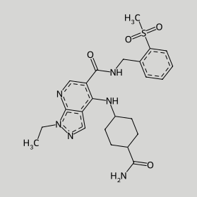 CCn1ncc2c(NC3CCC(C(N)=O)CC3)c(C(=O)NCc3ccccc3S(C)(=O)=O)cnc21